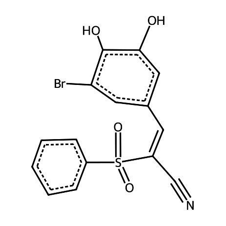 N#CC(=Cc1cc(O)c(O)c(Br)c1)S(=O)(=O)c1ccccc1